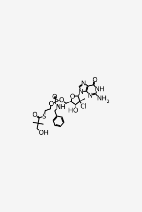 CC(C)(CO)C(=O)SCCOP(=O)(NCc1ccccc1)OC[C@H]1O[C@@H](n2cnc3c(=O)[nH]c(N)nc32)[C@](C)(Cl)[C@@H]1O